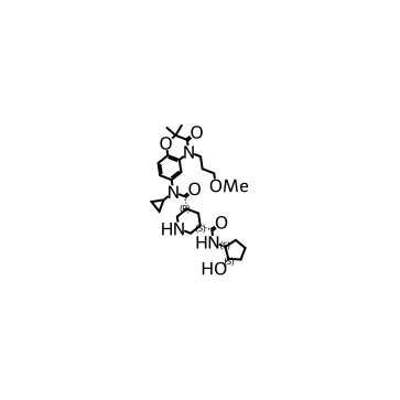 COCCCN1C(=O)C(C)(C)Oc2ccc(N(C(=O)[C@H]3CNC[C@@H](C(=O)N[C@H]4CCC[C@@H]4O)C3)C3CC3)cc21